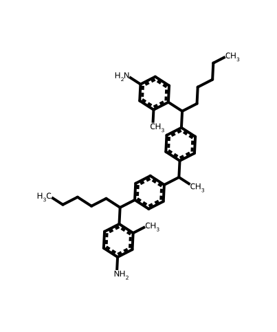 CCCCCC(c1ccc(C(C)c2ccc(C(CCCCC)c3ccc(N)cc3C)cc2)cc1)c1ccc(N)cc1C